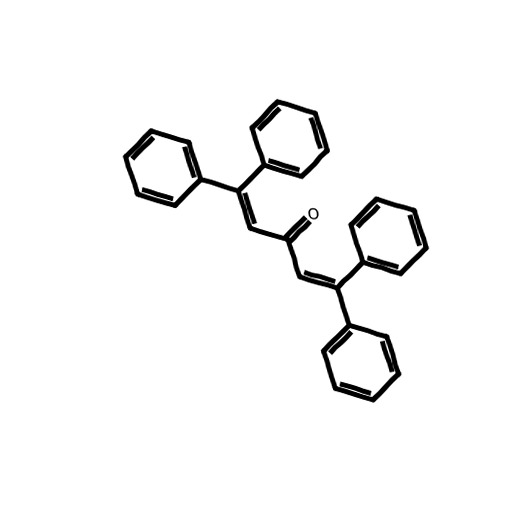 O=C(C=C(c1ccccc1)c1ccccc1)C=C(c1ccccc1)c1ccccc1